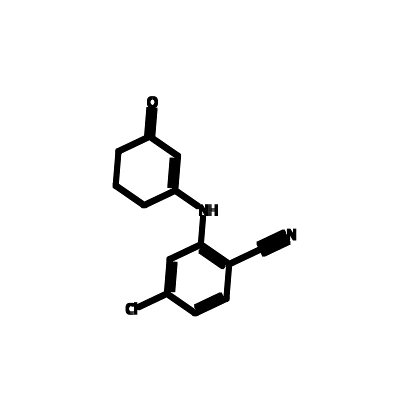 N#Cc1ccc(Cl)cc1NC1=CC(=O)CCC1